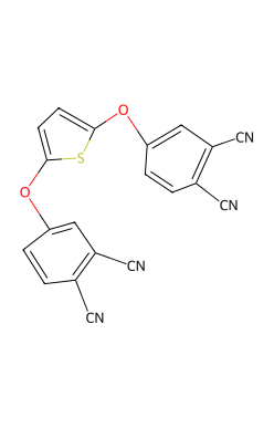 N#Cc1ccc(Oc2ccc(Oc3ccc(C#N)c(C#N)c3)s2)cc1C#N